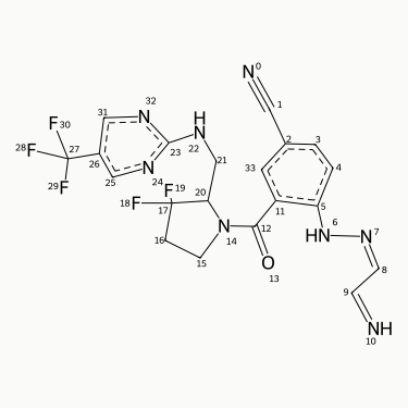 N#Cc1ccc(N/N=C\C=N)c(C(=O)N2CCC(F)(F)C2CNc2ncc(C(F)(F)F)cn2)c1